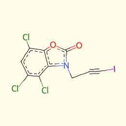 O=c1oc2c(Cl)cc(Cl)c(Cl)c2n1CC#CI